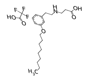 CCCCCCCCCOc1cccc(CCNCCC(=O)O)c1.O=C(O)C(F)(F)F